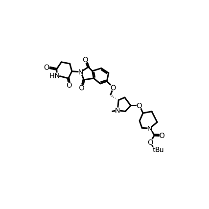 CN1C[C@H](OC2CCN(C(=O)OC(C)(C)C)CC2)C[C@H]1COc1ccc2c(c1)C(=O)N(C1CCC(=O)NC1=O)C2=O